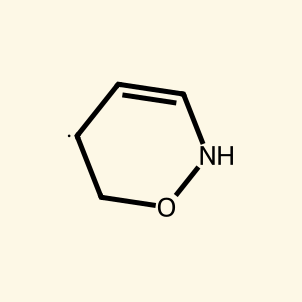 [CH]1C=CNOC1